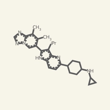 Cc1c(-c2[nH]c3ccc(C4CCC(NC5CC5)CC4)nc3c2C(C)C)cn2ncnc2c1C